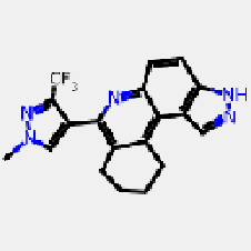 Cn1cc(-c2nc3ccc4[nH]ncc4c3c3c2CCCC3)c(C(F)(F)F)n1